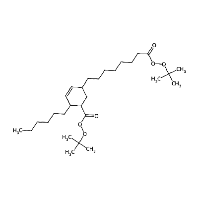 CCCCCCC1C=CC(CCCCCCCC(=O)OOC(C)(C)C)CC1C(=O)OOC(C)(C)C